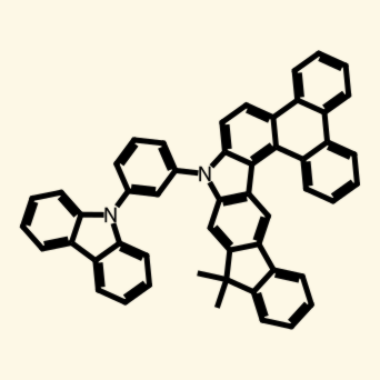 CC1(C)c2ccccc2-c2cc3c4c5c6ccccc6c6ccccc6c5ccc4n(-c4cccc(-n5c6ccccc6c6ccccc65)c4)c3cc21